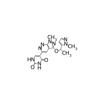 CC(Oc1nn(C)c2nnc(-c3c[nH]c(=O)[nH]c3=O)cc12)c1ccnn1C